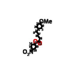 COc1ccc(C(C)=CC=CC(=O)Oc2ccc([N+](=O)[O-])cc2)cc1